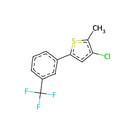 Cc1sc(-c2cccc(C(F)(F)F)c2)cc1Cl